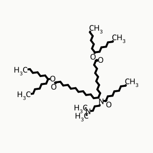 CCCCCCCC(=O)N(CCCN(C)C)C(CCCCCCCCCCC(=O)OC(CCCCCC)CCCCCC)CCCCCCCCC(=O)OC(CCCCCC)CCCCCC